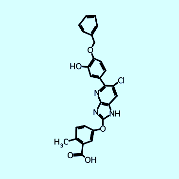 Cc1ccc(Oc2nc3nc(-c4ccc(OCc5ccccc5)c(O)c4)c(Cl)cc3[nH]2)cc1C(=O)O